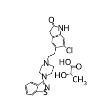 CC(O)C(=O)O.O=C1Cc2cc(CCN3CCN(c4nsc5ccccc45)CC3)c(Cl)cc2N1